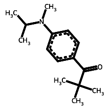 CC(C)N(C)c1ccc(C(=O)C(C)(C)C)cc1